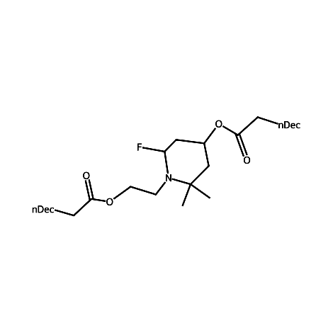 CCCCCCCCCCCC(=O)OCCN1C(F)CC(OC(=O)CCCCCCCCCCC)CC1(C)C